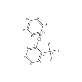 CC(C)(C)c1ccccc1Cl.c1ccccc1